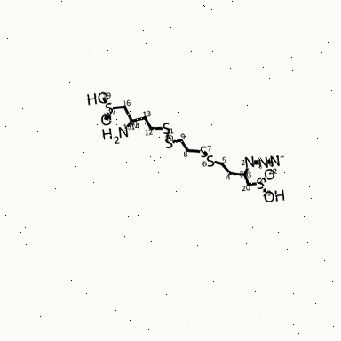 [N-]=[N+]=N[C@H](CCSSCCSSCC[C@@H](N)CS(=O)O)CS(=O)O